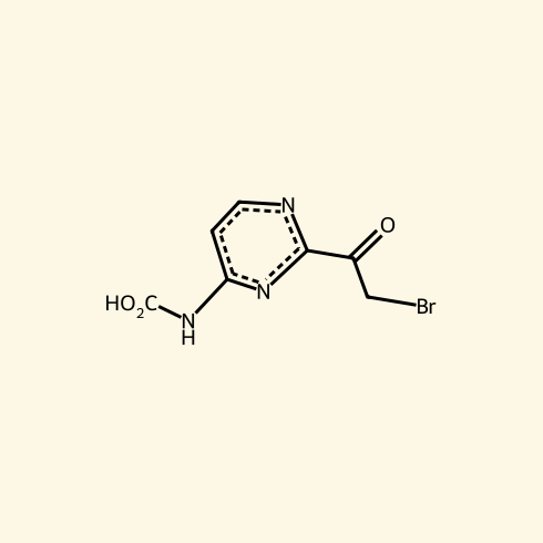 O=C(O)Nc1ccnc(C(=O)CBr)n1